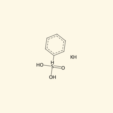 O=[SH](O)(O)c1ccccc1.[KH]